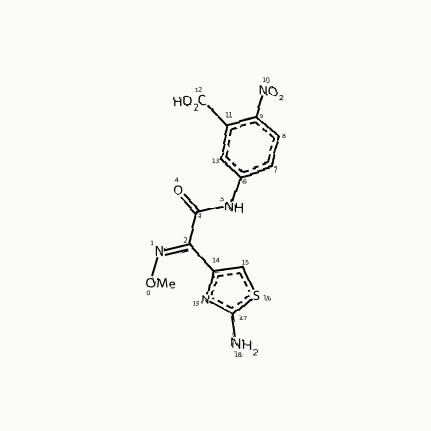 CO/N=C(/C(=O)Nc1ccc([N+](=O)[O-])c(C(=O)O)c1)c1csc(N)n1